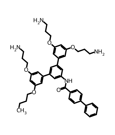 CCCCOc1cc(OCCCN)cc(-c2cc(NC(=O)c3ccc(-c4ccccc4)cc3)cc(-c3cc(OCCCN)cc(OCCCN)c3)c2)c1